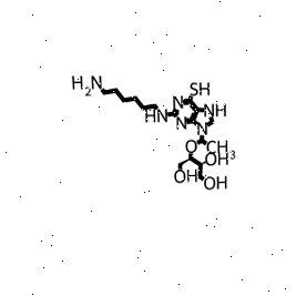 CC(O[C@H](CO)[C@H](O)CO)N1CNc2c(S)nc(NCCCCCCN)nc21